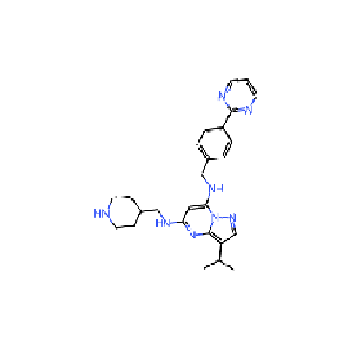 CC(C)c1cnn2c(NCc3ccc(-c4ncccn4)cc3)cc(NCC3CCNCC3)nc12